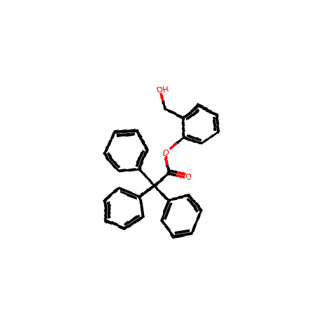 O=C(Oc1ccccc1CO)C(c1ccccc1)(c1ccccc1)c1ccccc1